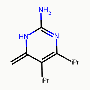 C=C1NC(N)=NC(C(C)C)=C1C(C)C